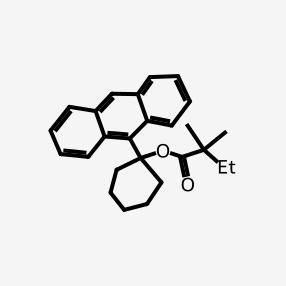 CCC(C)(C)C(=O)OC1(c2c3ccccc3cc3ccccc23)CCCCC1